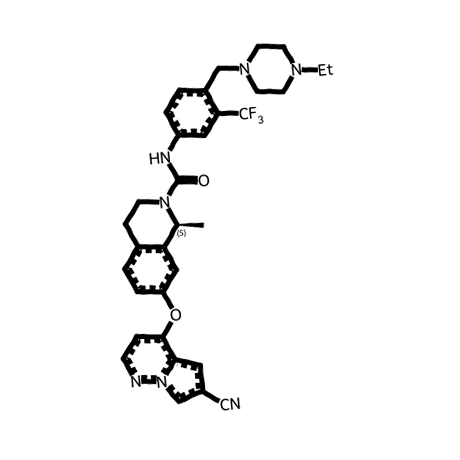 CCN1CCN(Cc2ccc(NC(=O)N3CCc4ccc(Oc5ccnn6cc(C#N)cc56)cc4[C@@H]3C)cc2C(F)(F)F)CC1